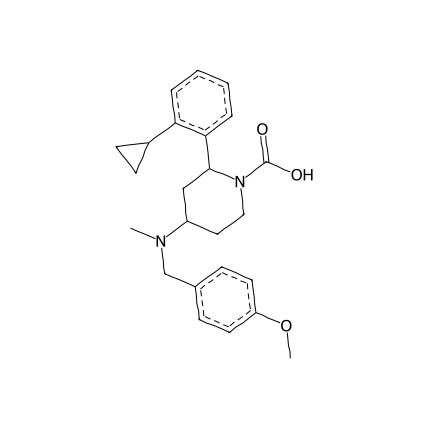 COc1ccc(CN(C)C2CCN(C(=O)O)C(c3ccccc3C3CC3)C2)cc1